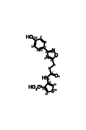 O=C(CCc1nc(-c2ccc(O)cn2)no1)Nc1cscc1C(=O)O